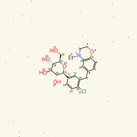 CCN1CCOc2ccc(Cc3cc([C@@H]4O[C@H](CO)[C@@H](O)[C@H](O)[C@H]4O)ccc3Cl)cc21